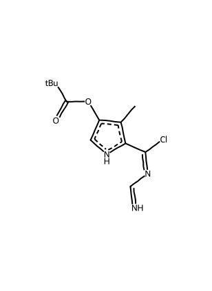 Cc1c(OC(=O)C(C)(C)C)c[nH]c1/C(Cl)=N\C=N